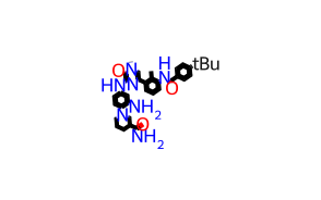 Cc1c(NC(=O)c2ccc(C(C)(C)C)cc2)cccc1-c1cn(C)c(=O)c(Nc2ccc(N3CCCC(C(N)=O)C3)c(N)c2)n1